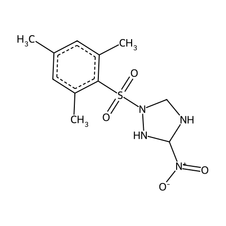 Cc1cc(C)c(S(=O)(=O)N2CNC([N+](=O)[O-])N2)c(C)c1